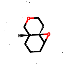 C1CC2O[C@@]23CCOC[C@H]3C1